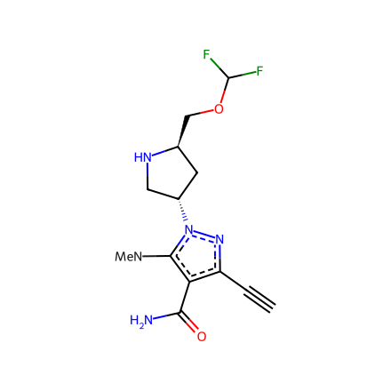 C#Cc1nn([C@@H]2CN[C@@H](COC(F)F)C2)c(NC)c1C(N)=O